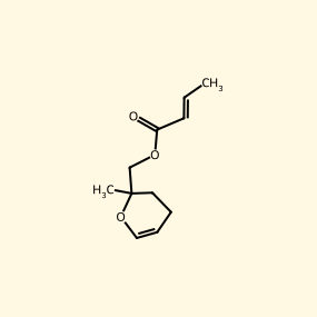 C/C=C/C(=O)OCC1(C)CCC=CO1